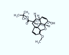 COc1ccc2c3c1O[C@H]1[C@H](O)C=C[C@H]4[C@@H](C2)N(C(=O)OC(C)(C)C)CC[C@@]341